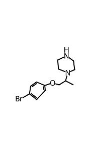 CC(COc1ccc(Br)cc1)N1CCNCC1